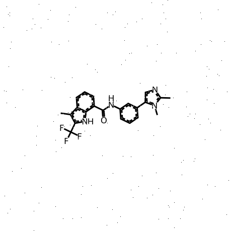 Cc1c(C(F)(F)F)[nH]c2c(C(=O)Nc3cccc(-c4cnc(C)n4C)c3)cccc12